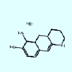 Br.OC1=CC=C2C=C3NCCCC3CC2C1O